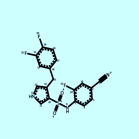 N#Cc1ccc(NS(=O)(=O)c2c[nH]cc2Cc2ccc(F)c(F)c2)c(F)c1